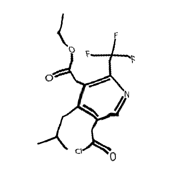 CCOC(=O)c1c(C(F)(F)F)ncc(C(=O)Cl)c1CC(C)C